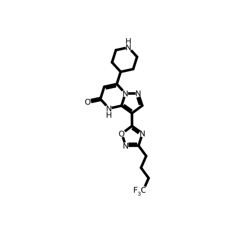 O=c1cc(C2CCNCC2)n2ncc(-c3nc(CCCC(F)(F)F)no3)c2[nH]1